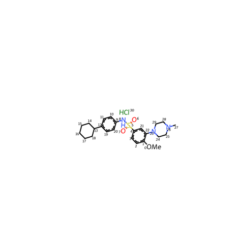 COc1ccc(S(=O)(=O)Nc2ccc(C3CCCCC3)cc2)cc1N1CCN(C)CC1.Cl